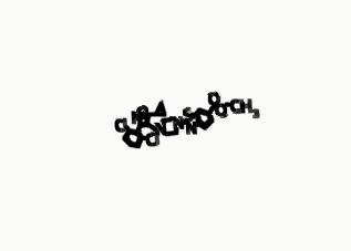 CCOC(=O)c1ccc2nc(N3CCN(Cc4c(-c5c(Cl)cccc5Cl)noc4C4CC4)CC3)sc2c1